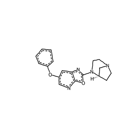 c1ccc(Oc2cnc3oc(N4CCN5CC[C@@H]4C5)nc3c2)cc1